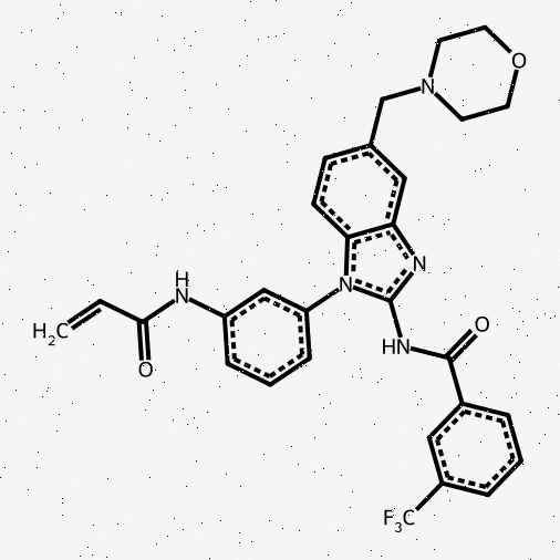 C=CC(=O)Nc1cccc(-n2c(NC(=O)c3cccc(C(F)(F)F)c3)nc3cc(CN4CCOCC4)ccc32)c1